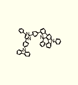 c1ccc(-c2cc(-c3ccc(-n4c5ccccc5c5ccccc54)cc3)nc(-c3ccc(-c4cccc5c4nc(-c4ccccc4)c4c5ccc5c4c4ccccc4n5-c4ccccc4)cc3)n2)cc1